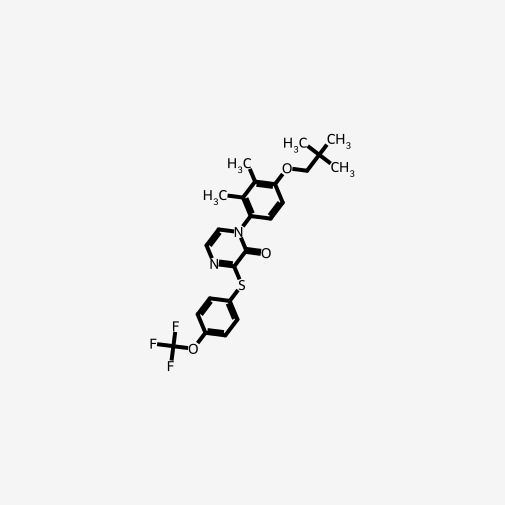 Cc1c(OCC(C)(C)C)ccc(-n2ccnc(Sc3ccc(OC(F)(F)F)cc3)c2=O)c1C